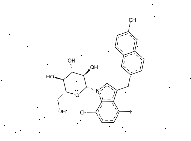 OC[C@H]1O[C@@H](n2cc(Cc3ccc4cc(O)ccc4c3)c3c(F)ccc(Cl)c32)[C@H](O)[C@@H](O)[C@@H]1O